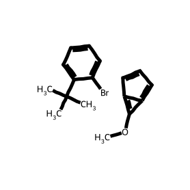 CC(C)(C)c1ccccc1Br.COc1c2cccc1-2